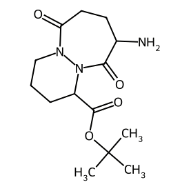 CC(C)(C)OC(=O)C1CCCN2C(=O)CCC(N)C(=O)N12